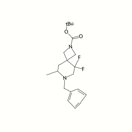 CC1CC2(CN(C(=O)OC(C)(C)C)C2)C(F)(F)CN1Cc1ccccc1